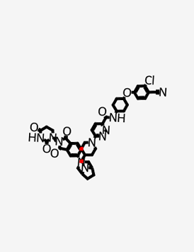 N#Cc1ccc(OC2CCC(NC(=O)c3ccc(N4CCC(CN5C6CCC5CN(c5ccc7c(c5)C(=O)N(N5CCC(=O)NC5=O)C7=O)C6)CC4)nn3)CC2)cc1Cl